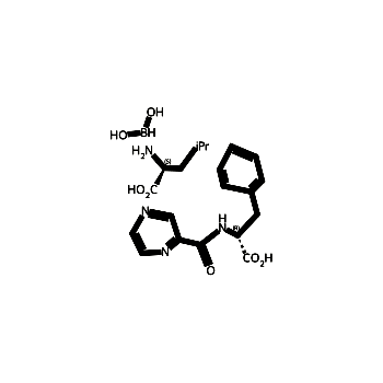 CC(C)C[C@H](N)C(=O)O.O=C(N[C@H](Cc1ccccc1)C(=O)O)c1cnccn1.OBO